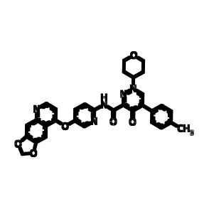 Cc1ccc(-c2cn(C3CCOCC3)nc(C(=O)Nc3ccc(Oc4ccnc5cc6c(cc45)OCO6)cn3)c2=O)cc1